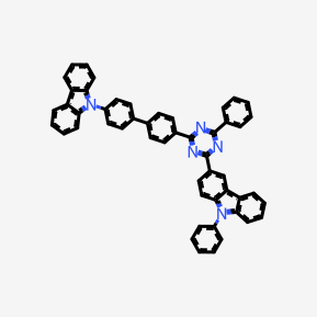 c1ccc(-c2nc(-c3ccc(-c4ccc(-n5c6ccccc6c6ccccc65)cc4)cc3)nc(-c3ccc4c(c3)c3ccccc3n4-c3ccccc3)n2)cc1